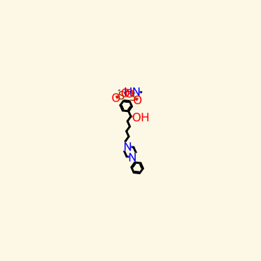 CNS(=O)(=O)c1cc(C(O)CCCCCN2CCN(c3ccccc3)CC2)ccc1S(C)(=O)=O